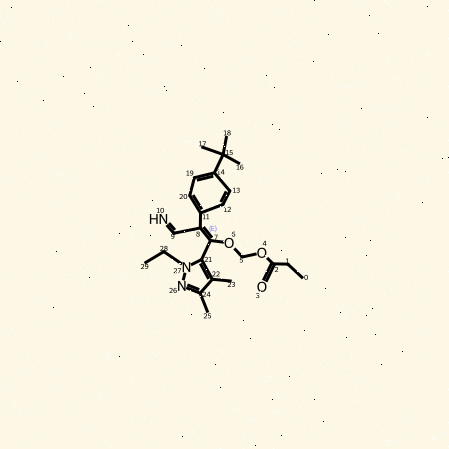 CCC(=O)OCO/C(=C(/C=N)c1ccc(C(C)(C)C)cc1)c1c(C)c(C)nn1CC